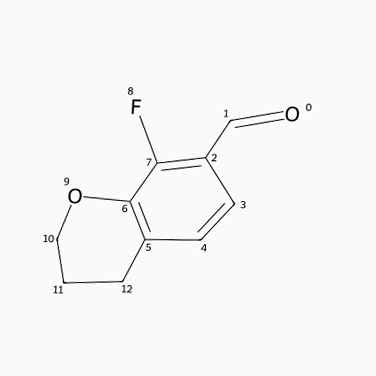 O=Cc1ccc2c(c1F)OCCC2